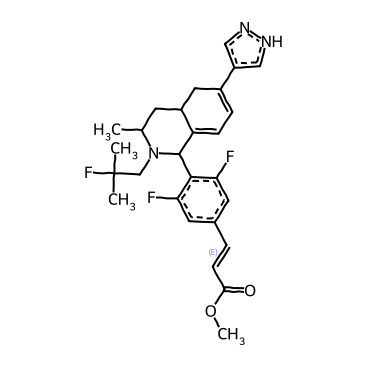 COC(=O)/C=C/c1cc(F)c(C2C3=CC=C(c4cn[nH]c4)CC3CC(C)N2CC(C)(C)F)c(F)c1